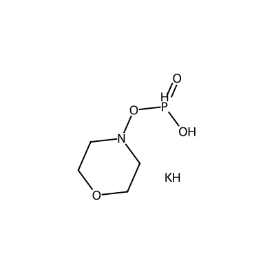 O=[PH](O)ON1CCOCC1.[KH]